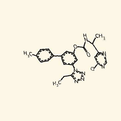 CCc1nnnn1-c1cc(OC(=O)NC(C)c2cc(Cl)ncn2)cc(-c2ccc(C)cc2)c1